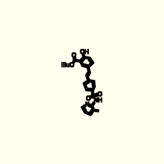 Cc1cccnc1NS(=O)(=O)c1ccc(C=Cc2ccc(O)c(C(=O)OCC(C)C)c2)cc1